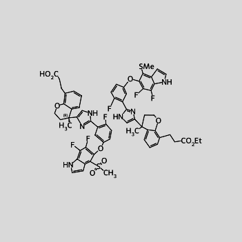 CCOC(=O)CCc1cccc2c1OCCC2(C)c1c[nH]c(-c2cc(Oc3c(F)c(F)c4[nH]ccc4c3SC)ccc2F)n1.C[C@@]1(c2c[nH]c(-c3cc(Oc4c(F)c(F)c5[nH]ccc5c4S(C)(=O)=O)ccc3F)n2)CCOc2c(CCC(=O)O)cccc21